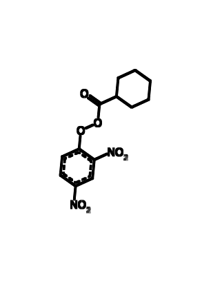 O=C(OOc1ccc([N+](=O)[O-])cc1[N+](=O)[O-])C1CCCCC1